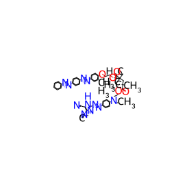 [C-]#[N+]c1nc(/N=N/c2ccc(N(CC)CCOC(=O)C(C)(C)CC(C)(CC)C(=O)OCCOc3ccc(/N=N/c4ccc(/N=N/c5ccccc5)cc4)cc3C)cc2)[nH]c1C#N